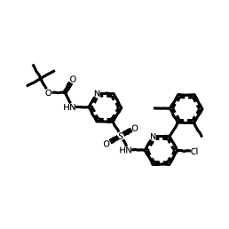 Cc1cccc(C)c1-c1nc(NS(=O)(=O)c2ccnc(NC(=O)OC(C)(C)C)c2)ccc1Cl